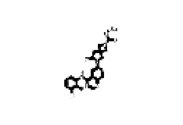 CC(C)(C)OC(=O)N1CC2(CC(=O)N(c3cc4c(Nc5cccc(Cl)c5F)ncnc4cn3)C2)C1